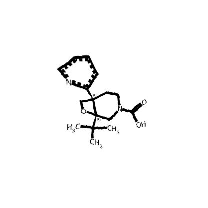 CC(C)(C)[C@]12CN(C(=O)O)CC[C@@]1(c1ccccn1)CO2